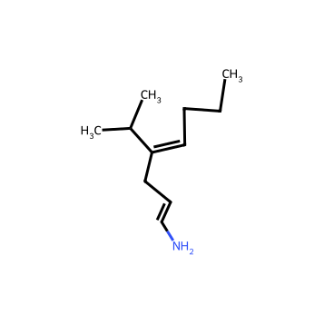 CCCC=C(C/C=C/N)C(C)C